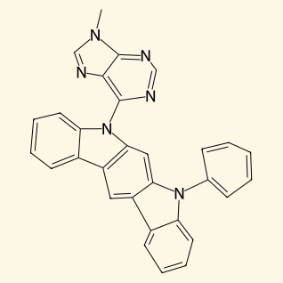 Cn1cnc2c(-n3c4ccccc4c4cc5c6ccccc6n(-c6ccccc6)c5cc43)ncnc21